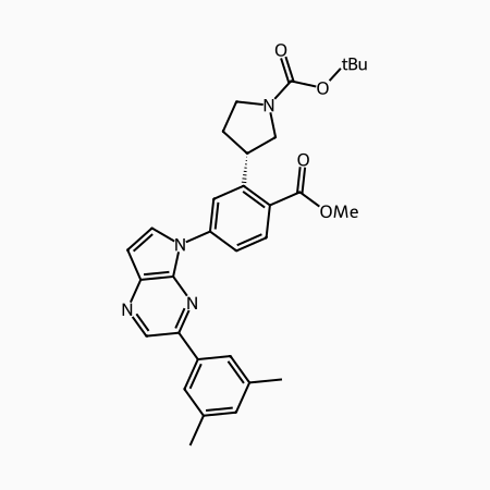 COC(=O)c1ccc(-n2ccc3ncc(-c4cc(C)cc(C)c4)nc32)cc1[C@@H]1CCN(C(=O)OC(C)(C)C)C1